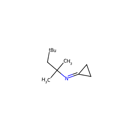 CC(C)(C)CC(C)(C)N=C1CC1